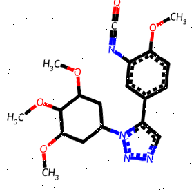 COc1ccc(-c2cnnn2C2CC(OC)C(OC)C(OC)C2)cc1N=C=O